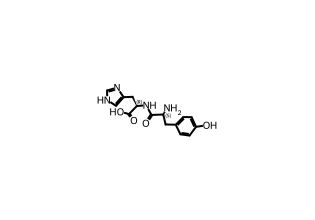 N[C@@H](Cc1ccc(O)cc1)C(=O)N[C@H](Cc1c[nH]cn1)C(=O)O